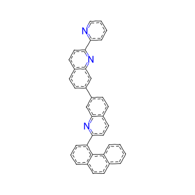 c1ccc(-c2ccc3ccc(-c4ccc5ccc(-c6cccc7ccc8ccccc8c67)nc5c4)cc3n2)nc1